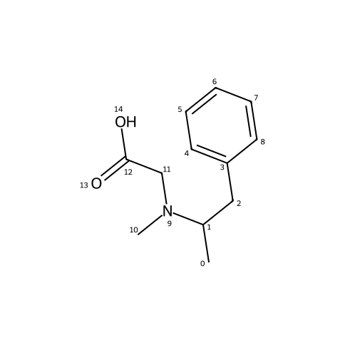 CC(Cc1ccccc1)N(C)CC(=O)O